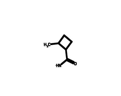 CC1CCC1C([NH])=O